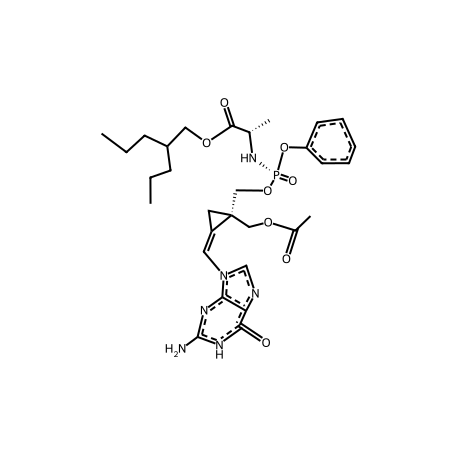 CCCC(CCC)COC(=O)[C@H](C)N[P@](=O)(OC[C@@]1(COC(C)=O)C/C1=C/n1cnc2c(=O)[nH]c(N)nc21)Oc1ccccc1